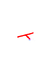 CCCCCCCCCCCCCCCCC(CCCCCCCCCCCCCCCC)CCCCC(=O)OCCCCN(C)C